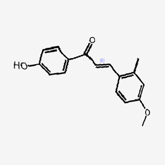 COc1ccc(/C=C/C(=O)c2ccc(O)cc2)c(C)c1